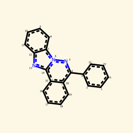 c1ccc(-c2nn3c4ccccc4nc3c3ccccc23)cc1